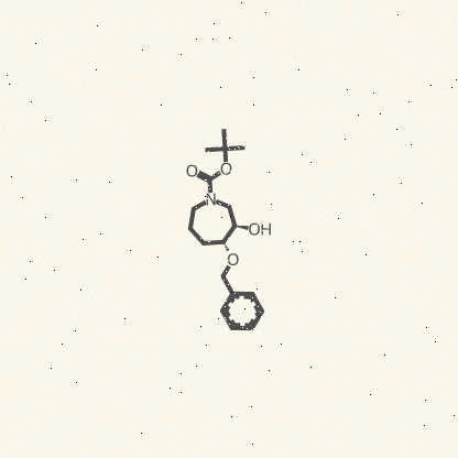 CC(C)(C)OC(=O)N1CCC[C@@H](OCc2ccccc2)[C@H](O)C1